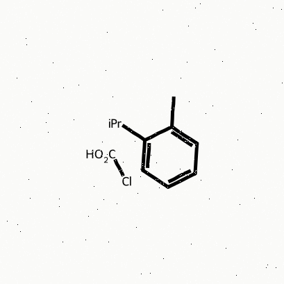 Cc1ccccc1C(C)C.O=C(O)Cl